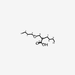 CCCCOCC(CCCC)C(=O)O